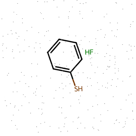 F.Sc1ccccc1